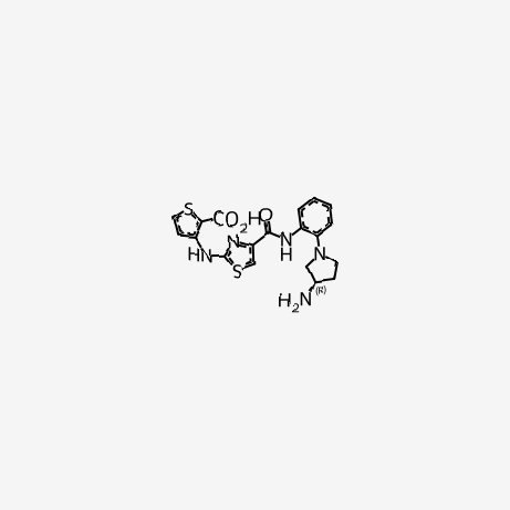 N[C@@H]1CCN(c2ccccc2NC(=O)c2csc(Nc3ccsc3C(=O)O)n2)C1